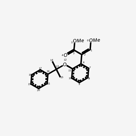 CO/C=C(\C(=O)OC)c1ccccc1OC(C)(C)c1ccccc1